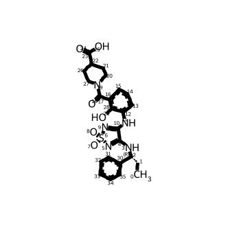 CC[C@@H](NC1=NS(=O)(=O)N=C1Nc1cccc(C(=O)N2CCC(C(=O)O)CC2)c1O)c1ccccc1